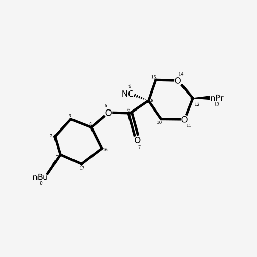 CCCCC1CCC(OC(=O)[C@]2(C#N)CO[C@H](CCC)OC2)CC1